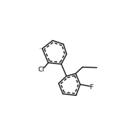 CCc1c(F)cccc1-c1ccc[c]c1Cl